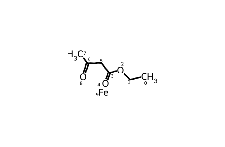 CCOC(=O)CC(C)=O.[Fe]